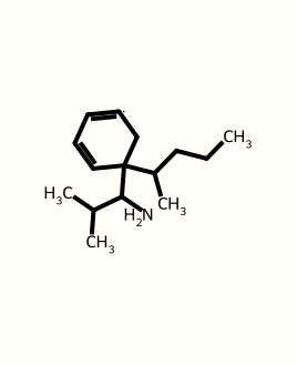 CCCC(C)C1(C(N)C(C)C)C=CC=[C]C1